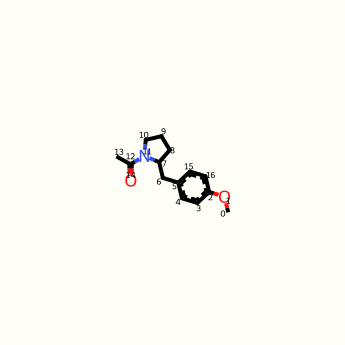 COc1ccc(CC2CCCN2C(C)=O)cc1